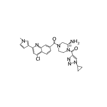 Cn1ccc(-c2cc(Cl)c3ccc(C(=O)N4CCN(C(=O)c5cn(C6CC6)nn5)[C@H](N)C4)cc3n2)c1